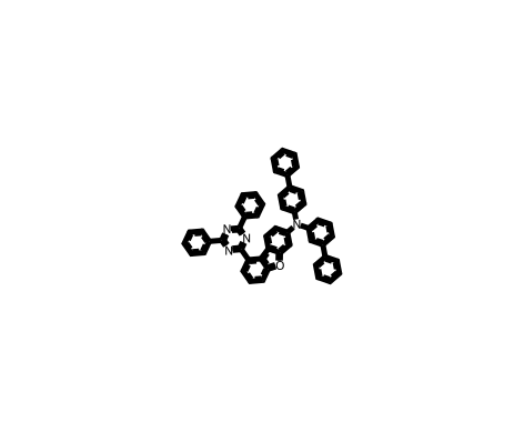 c1ccc(-c2ccc(N(c3cccc(-c4ccccc4)c3)c3ccc4c(c3)oc3cccc(-c5nc(-c6ccccc6)nc(-c6ccccc6)n5)c34)cc2)cc1